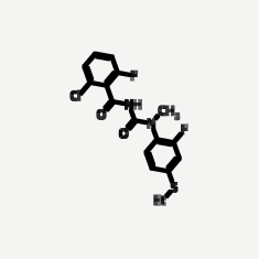 CCSc1ccc(N(C)C(=O)NC(=O)c2c(F)cccc2Cl)c(F)c1